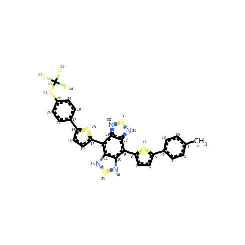 Cc1ccc(-c2ccc(-c3c4c(c(-c5ccc(-c6ccc(SC(F)(F)F)cc6)s5)c5nsnc35)N=S=N4)s2)cc1